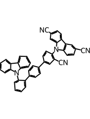 N#Cc1ccc2c(c1)c1ccc(C#N)cc1n2-c1ccc(-c2ccc(-c3ccccc3-n3c4ccccc4c4ccccc43)cc2)cc1C#N